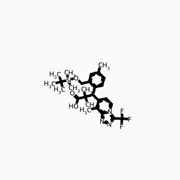 Cc1ccc(C(c2ccn3c(C(F)(F)F)nnc3c2C)C(C)(C)C(=O)O)c(CO[Si](C)(C)C(C)(C)C)c1